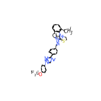 Cc1cccc(C)c1N1CCS/C1=N\N=C\c1ccc(-c2ncn(-c3ccc(OC(F)(F)F)cc3)n2)cc1